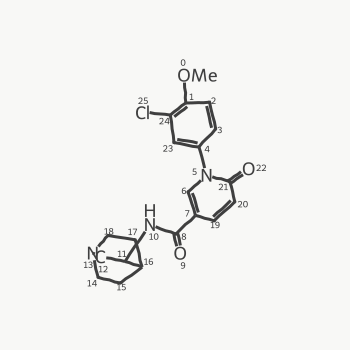 COc1ccc(-n2cc(C(=O)NC3CN4CCC3CC4)ccc2=O)cc1Cl